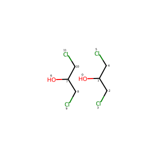 OC(CCl)CCl.OC(CCl)CCl